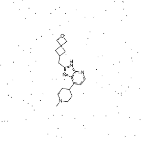 CN1CCC(c2ccnc3[nH]c(CC4CC5(COC5)C4)nc23)CC1